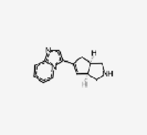 C1=C(c2cnc3ccccn23)C[C@H]2CNC[C@@H]12